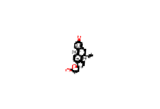 C=C[C@@H]1CC2=CC(=O)CC[C@@H]2[C@H]2CC[C@@]3(CC)[C@@H](CC[C@@]34C=CC(=O)O4)[C@@H]21